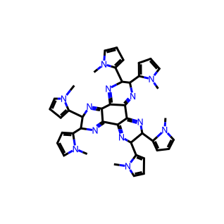 Cn1cccc1C1N=c2c3c(c4c(c2=NC1c1cccn1C)=NC(c1cccn1C)C(c1cccn1C)N=4)=NC(c1cccn1C)C(c1cccn1C)N=3